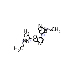 C=C/C=N\N=C(/C=C)c1cc2nccc(/C(C=C)=C/C(C#N)=C\C=C)c2o1